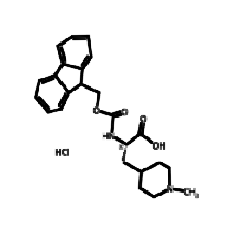 CN1CCC(C[C@H](NC(=O)OCC2c3ccccc3-c3ccccc32)C(=O)O)CC1.Cl